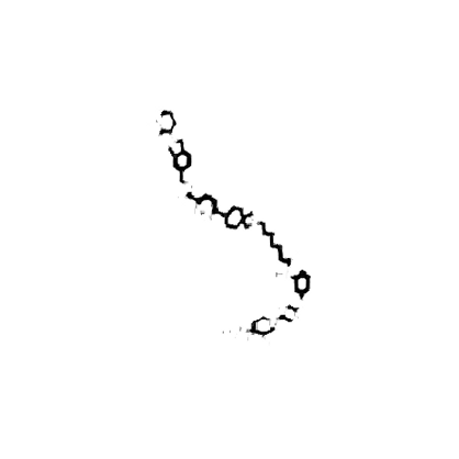 CC1(N)CCN(c2cnc(Sc3cccc(NC(=O)CCCCCCN4CC5(CC=C(c6ccc(C(=O)NCc7ccc8c(c7)CN(C7CCC(=O)NC7=O)C8=O)nn6)CC5)C4)c3)cn2)CC1